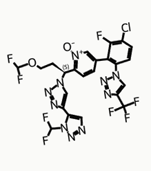 [O-][n+]1cc(-c2c(-n3cc(C(F)(F)F)nn3)ccc(Cl)c2F)ccc1[C@H](CCOC(F)F)n1cc(-c2cnnn2C(F)F)nn1